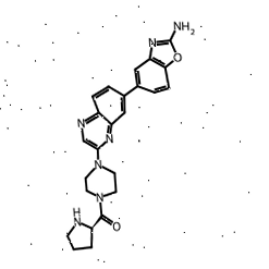 Nc1nc2cc(-c3ccc4ncc(N5CCN(C(=O)[C@H]6CCCN6)CC5)nc4c3)ccc2o1